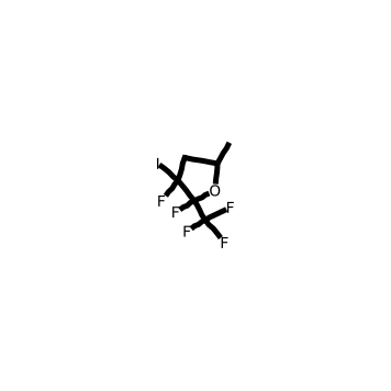 CC1CC(F)(I)C(F)(C(F)(F)F)O1